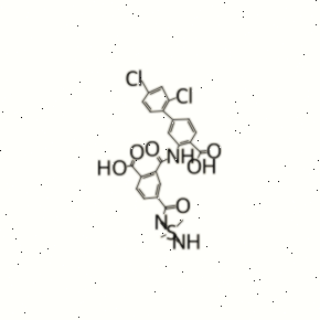 CS(C)(=N)=NC(=O)c1ccc(C(=O)O)c(C(=O)Nc2cc(-c3ccc(Cl)cc3Cl)ccc2C(=O)O)c1